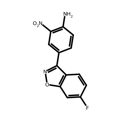 Nc1ccc(-c2noc3cc(F)ccc23)cc1[N+](=O)[O-]